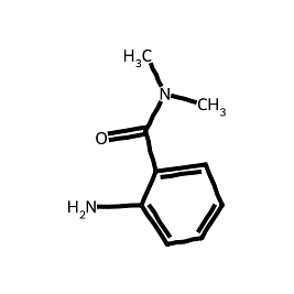 CN(C)C(=O)c1ccccc1N